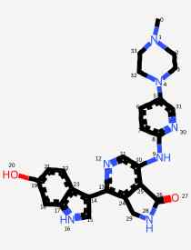 CN1CCN(c2ccc(Nc3cnc(-c4c[nH]c5cc(O)ccc45)c4c3C(=O)NC4)nc2)CC1